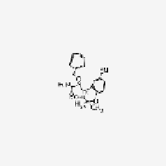 CC1(C)Oc2ccc(C#N)cc2[C@H](N(OCc2ccccc2)C(N)=O)[C@H]1O